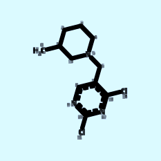 CC1CCCN(Cc2cnc(Cl)nc2Cl)C1